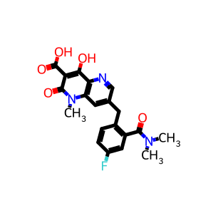 CN(C)C(=O)c1cc(F)ccc1Cc1cnc2c(O)c(C(=O)O)c(=O)n(C)c2c1